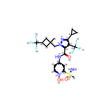 CC1(Cn2nc(C3CC3)c(C(F)(F)F)c2C(=O)Nc2cc[n+](O)c(S(C)(=N)=O)c2)CC(C(F)(F)F)C1